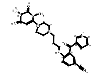 Cn1c(N2CCN(CCCOc3ccc(C#N)cc3C(=O)c3cccnc3)CC2)cc(=O)n(C)c1=O